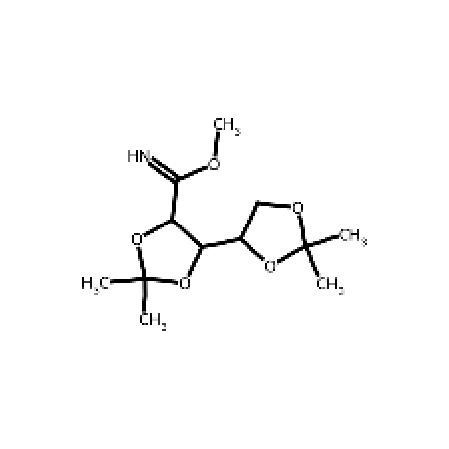 COC(=N)C1OC(C)(C)OC1C1COC(C)(C)O1